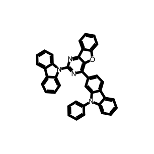 c1ccc(-n2c3ccccc3c3ccc(-c4nc(-n5c6ccccc6c6ccccc65)nc5c4oc4ccccc45)cc32)cc1